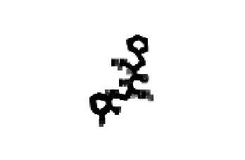 C[C@@H](CNc1cccc(F)c1F)NC(=O)[C@@H](N)CC1CCCCC1